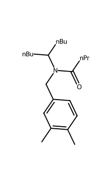 CCCCC(CCCC)N(Cc1ccc(C)c(C)c1)C(=O)CCC